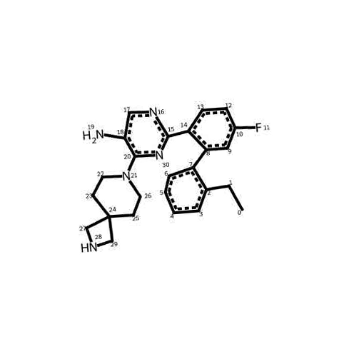 CCc1ccccc1-c1cc(F)ccc1-c1ncc(N)c(N2CCC3(CC2)CNC3)n1